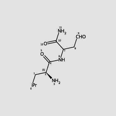 CC(C)C[C@H](N)C(=O)NC(CC=O)C(N)=O